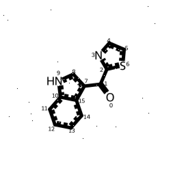 O=C(c1nccs1)c1c[nH]c2ccccc12